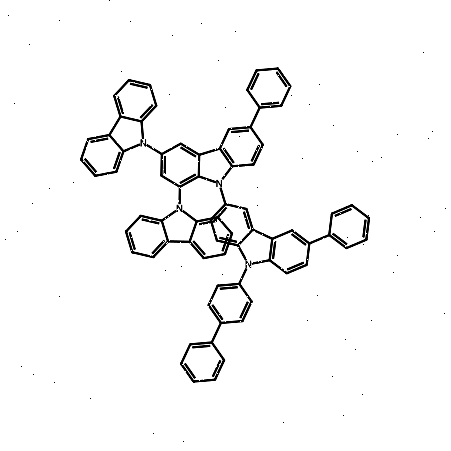 c1ccc(-c2ccc(-n3c4ccc(-c5ccccc5)cc4c4cc(-n5c6ccc(-c7ccccc7)cc6c6cc(-n7c8ccccc8c8ccccc87)cc(-n7c8ccccc8c8ccccc87)c65)ccc43)cc2)cc1